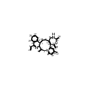 C=CC1=NC2C(=C)C[n+]3ccc(C)cc3C3=C(CCC2c2ccccc21)CNC(=C)OC3=C